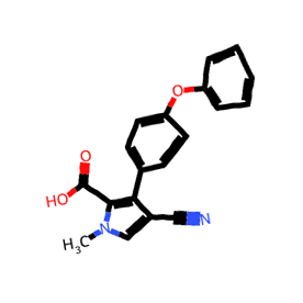 Cn1cc(C#N)c(-c2ccc(Oc3ccccc3)cc2)c1C(=O)O